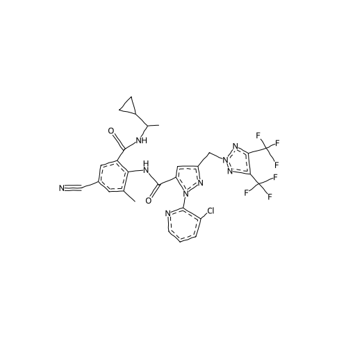 Cc1cc(C#N)cc(C(=O)NC(C)C2CC2)c1NC(=O)c1cc(Cn2nc(C(F)(F)F)c(C(F)(F)F)n2)nn1-c1ncccc1Cl